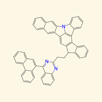 c1ccc2c(c1)-c1c(cc3c4cc5ccccc5cc4n4c5ccccc5c1c34)C2CCc1nc(-c2cc3ccccc3c3ccccc23)c2ccccc2n1